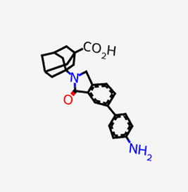 Nc1ccc(-c2ccc3c(c2)C(=O)N(C24CC5CC(CC(C(=O)O)(C5)C2)C4)C3)cc1